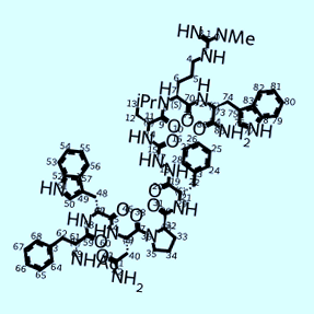 CNC(=N)NCCC[C@H](NC(=O)[C@H](CC(C)C)NC(=O)NNC(=O)[C@H](Cc1ccccc1)NC(=O)[C@H]1CCCN1C(=O)[C@H](CC(N)=O)NC(=O)[C@@H](Cc1c[nH]c2ccccc12)NC(=O)[C@@H](Cc1ccccc1)NC(C)=O)C(=O)N[C@@H](Cc1c[nH]c2ccccc12)C(N)=O